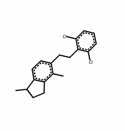 Cc1c(CCc2c(Cl)cccc2Cl)ccc2c1CCC2C